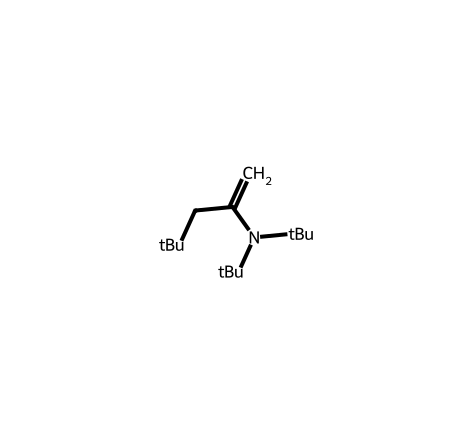 C=C(CC(C)(C)C)N(C(C)(C)C)C(C)(C)C